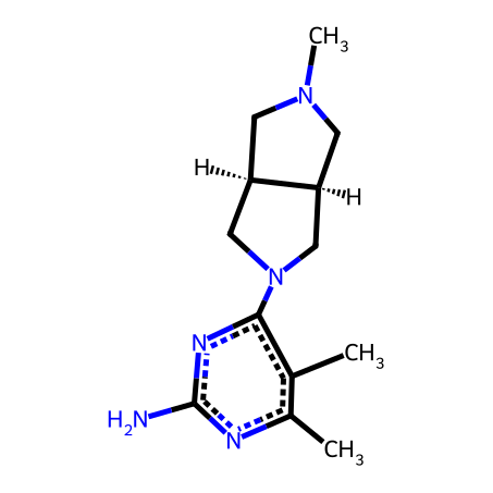 Cc1nc(N)nc(N2C[C@H]3CN(C)C[C@H]3C2)c1C